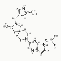 OC1CC2(CCN(c3cnc4cnn(CC(F)F)c4n3)CC2)CN1Cc1cnc(C(F)(F)F)s1